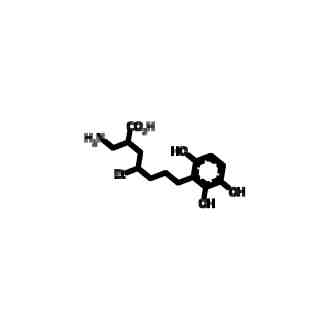 CCC(CCCc1c(O)ccc(O)c1O)CC(CN)C(=O)O